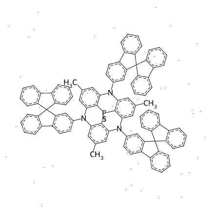 Cc1cc2c3c(c1)N(c1ccc4c(c1)C1(c5ccccc5-c5ccccc51)c1ccccc1-4)c1cc(C)cc4c1P3(=S)c1c(cc(C)cc1N4c1ccc3c(c1)C1(c4ccccc4-c4ccccc41)c1ccccc1-3)N2c1ccc2c(c1)C1(c3ccccc3-c3ccccc31)c1ccccc1-2